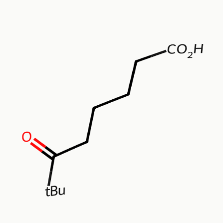 CC(C)(C)C(=O)CCCCC(=O)O